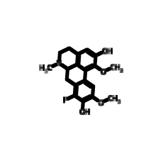 COc1cc2c(c(F)c1O)CC1c3c(cc(O)c(OC)c3-2)CCN1C